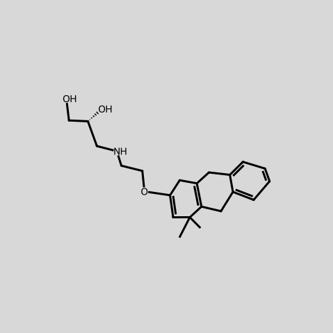 CC1(C)C=C(OCCNC[C@@H](O)CO)CC2=C1Cc1ccccc1C2